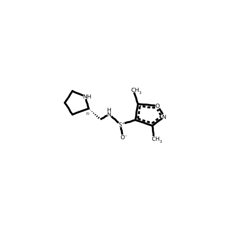 Cc1noc(C)c1[S+]([O-])NC[C@@H]1CCCN1